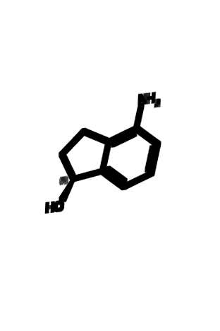 Nc1cccc2c1CC[C@@H]2O